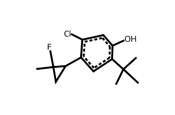 CC(C)(C)c1cc(C2CC2(C)F)c(Cl)cc1O